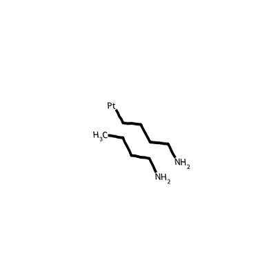 CCCCN.NCCC[CH2][Pt]